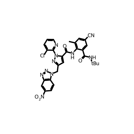 Cc1cc(C#N)cc(C(=O)NC(C)(C)C)c1NC(=O)c1cc(Cn2nnc3cc([N+](=O)[O-])ccc32)nn1-c1ncccc1Cl